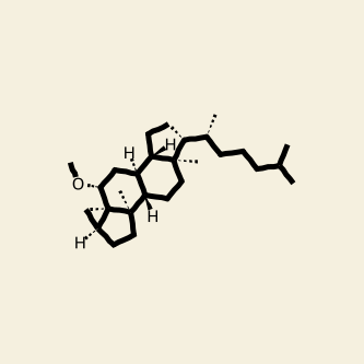 CO[C@@H]1C[C@H]2[C@@H]3CC[C@H]([C@H](C)CCCC(C)C)[C@@]3(C)CC[C@@H]2[C@@]2(C)CC[C@H]3C[C@]312